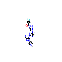 Cc1nn(C2CCN(C)CC2)cc1Nc1ncc(C(F)(F)F)c(NCCCNC(=O)C2CC(F)(F)C2)n1